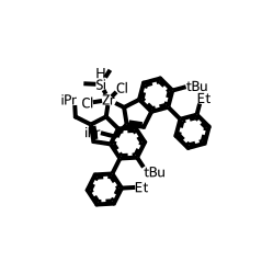 CCc1ccccc1-c1c(C(C)(C)C)ccc2c1C=C(CC(C)C)[CH]2[Zr]([Cl])([Cl])([CH]1C(CC(C)C)=Cc2c1ccc(C(C)(C)C)c2-c1ccccc1CC)[SiH](C)C